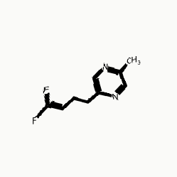 Cc1cnc(CCC=C(F)F)cn1